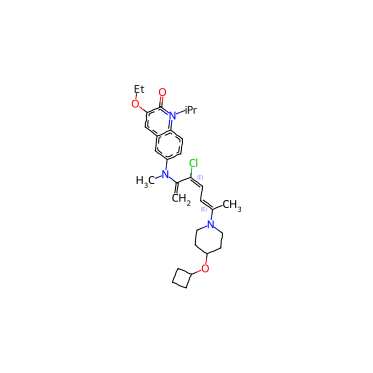 C=C(/C(Cl)=C\C=C(/C)N1CCC(OC2CCC2)CC1)N(C)c1ccc2c(c1)cc(OCC)c(=O)n2C(C)C